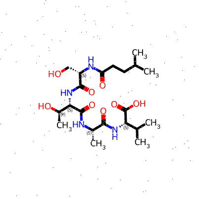 CC(C)CCC(=O)N[C@@H](CO)C(=O)N[C@H](C(=O)N[C@@H](C)C(=O)N[C@H](C(=O)O)C(C)C)[C@@H](C)O